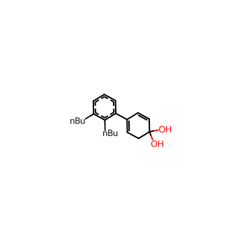 CCCCc1cccc(C2=CCC(O)(O)C=C2)c1CCCC